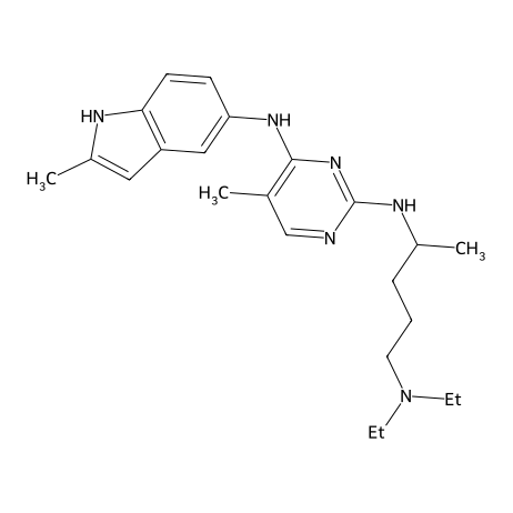 CCN(CC)CCCC(C)Nc1ncc(C)c(Nc2ccc3[nH]c(C)cc3c2)n1